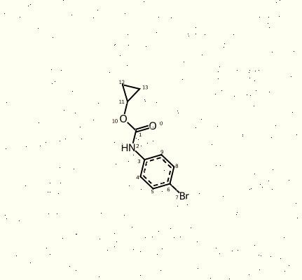 O=C(Nc1ccc(Br)cc1)OC1CC1